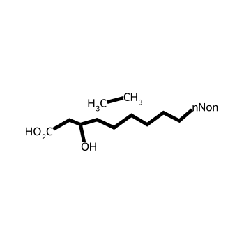 CC.CCCCCCCCCCCCCCCC(O)CC(=O)O